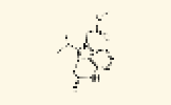 COC(=O)Cn1c(C(C)C)c2c3c(cccc31)NC(=O)C2